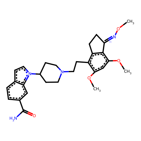 CO/N=C1\CCc2c(CCN3CCC(n4ccc5ccc(C(N)=O)cc54)CC3)c(OC)cc(OC)c21